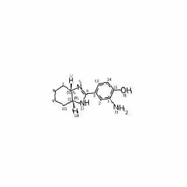 Nc1cc(C2=N[C@H]3CCCC[C@H]3N2)ccc1O